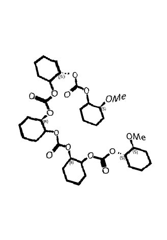 CO[C@H]1CCCCC1OC(=O)O[C@H]1CCCCC1OC(=O)O[C@@H]1CCCCC1OC(=O)O[C@@H]1CCCCC1OC(=O)O[C@H]1CCCC[C@@H]1OC